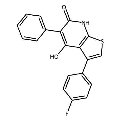 O=c1[nH]c2scc(-c3ccc(F)cc3)c2c(O)c1-c1ccccc1